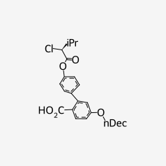 CCCCCCCCCCOc1ccc(C(=O)O)c(-c2ccc(OC(=O)[C@@H](Cl)C(C)C)cc2)c1